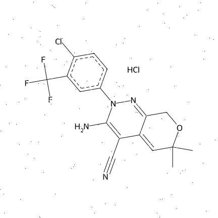 CC1(C)C=C2C(=NN(c3ccc(Cl)c(C(F)(F)F)c3)C(N)=C2C#N)CO1.Cl